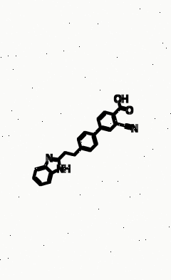 N#Cc1cc(-c2ccc(CCc3nc4ccccc4[nH]3)cc2)ccc1C(=O)O